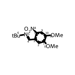 COc1cc(C=NC(C)(C)C)c([N+](=O)[O-])cc1OC